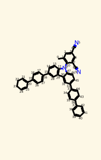 Cc1cc(C#N)cc(C#N)c1-n1c2ccc(-c3ccc(C4=CCCC=C4)cc3)cc2c2cc(-c3ccc(-c4ccccc4)cc3)ccc21